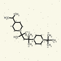 CC(C)C1CCN(C(C)(C)CC(C)(C)N2CCN(C(C)(C)C)CC2)CC1